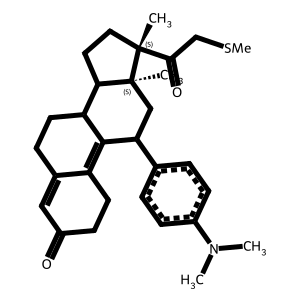 CSCC(=O)[C@@]1(C)CCC2C3CCC4=CC(=O)CCC4=C3C(c3ccc(N(C)C)cc3)C[C@@]21C